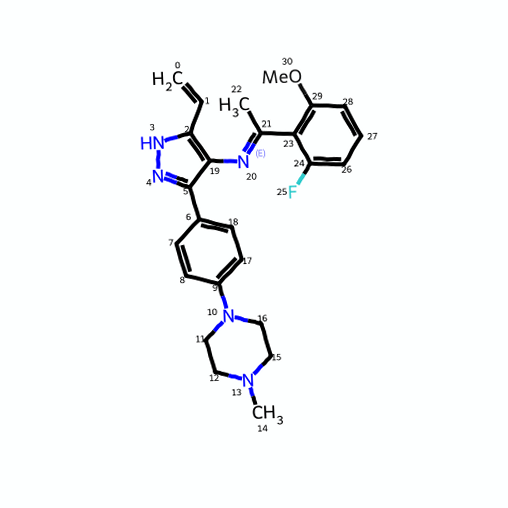 C=Cc1[nH]nc(-c2ccc(N3CCN(C)CC3)cc2)c1/N=C(\C)c1c(F)cccc1OC